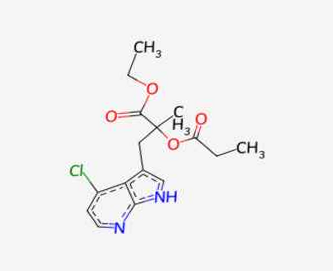 CCOC(=O)C(C)(Cc1c[nH]c2nccc(Cl)c12)OC(=O)CC